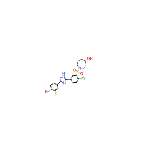 O=S(=O)(c1cc(-c2nc(-c3ccc(Br)c(F)c3)c[nH]2)ccc1Cl)N1CCCC(O)CC1